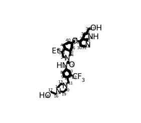 CC[C@H]1CN(C(=O)Nc2ccc(CN3CCN(CCO)CC3)c(C(F)(F)F)c2)Cc2cc(Oc3ccnc4[nH]c(CO)cc34)ccc21